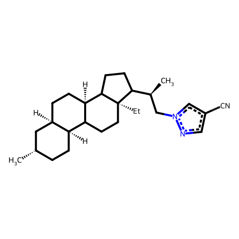 CC[C@]12CCC3[C@@H](CC[C@@H]4C[C@@H](C)CC[C@H]34)C1CCC2[C@@H](C)Cn1cc(C#N)cn1